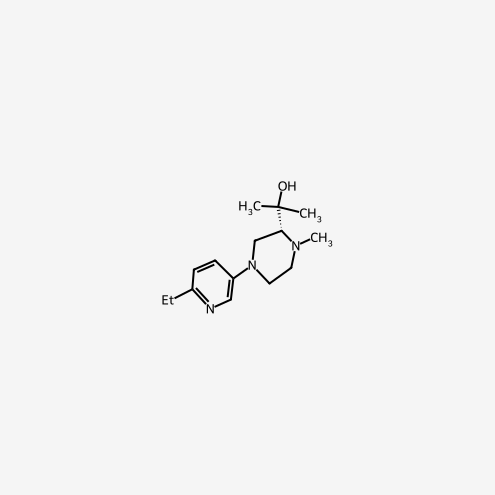 CCc1ccc(N2CCN(C)[C@@H](C(C)(C)O)C2)cn1